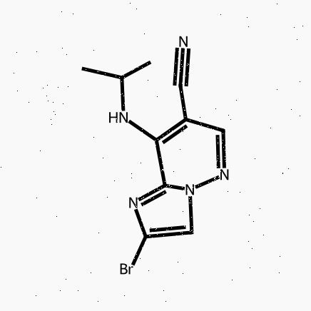 CC(C)Nc1c(C#N)cnn2cc(Br)nc12